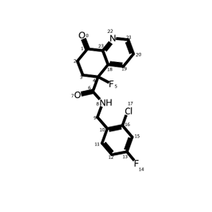 O=C1CCC(F)(C(=O)NCc2ccc(F)cc2Cl)c2cccnc21